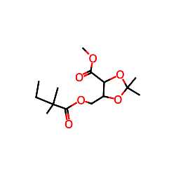 CCC(C)(C)C(=O)OCC1OC(C)(C)OC1C(=O)OC